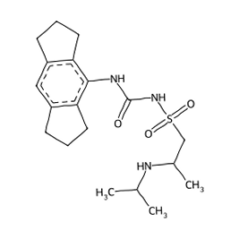 CC(C)NC(C)CS(=O)(=O)NC(=O)Nc1c2c(cc3c1CCC3)CCC2